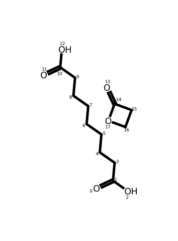 O=C(O)CCCCCCCC(=O)O.O=C1CCO1